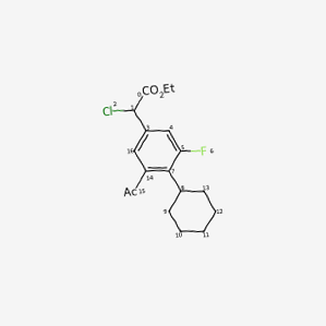 CCOC(=O)C(Cl)c1cc(F)c(C2CCCCC2)c(C(C)=O)c1